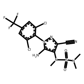 CN(C)S(=O)(=O)N(C)c1c(C#N)nn(-c2c(Cl)cc(C(F)(F)F)cc2Cl)c1N